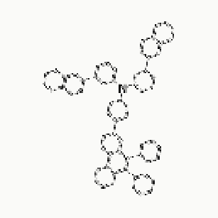 c1ccc(-c2c(-c3ccccc3)c3cc(-c4ccc(N(c5cccc(-c6ccc7ccccc7c6)c5)c5cccc(-c6ccc7ccccc7c6)c5)cc4)ccc3c3ccccc23)cc1